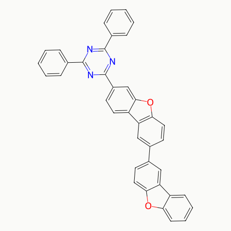 c1ccc(-c2nc(-c3ccccc3)nc(-c3ccc4c(c3)oc3ccc(-c5ccc6oc7ccccc7c6c5)cc34)n2)cc1